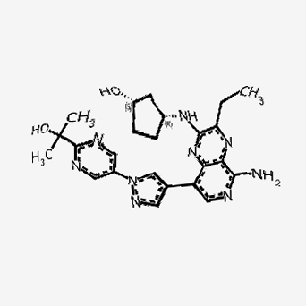 CCc1nc2c(N)ncc(-c3cnn(-c4cnc(C(C)(C)O)nc4)c3)c2nc1N[C@@H]1CC[C@H](O)C1